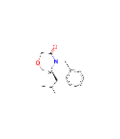 CC(C)C[C@H]1COCC(=O)N1Cc1ccccc1